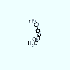 C=CC(=O)OCOc1ccc(C2CCC(CCC)CC2)cc1